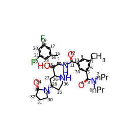 CCCN(CCC)C(=O)c1cc(C)cc(C(=O)N[C@@H](Cc2cc(F)cc(F)c2)[C@H](O)C2C[C@@H](N3CCCC3=O)CCN2)c1